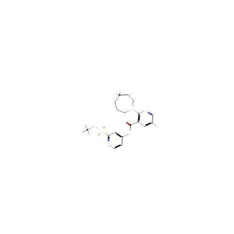 CC(C)(C)NS(=O)(=O)c1cc(NC(=O)c2cc(Cl)cnc2N2CCCC(F)(F)CC2)ccn1